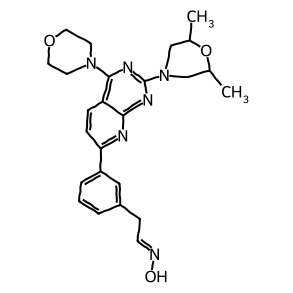 CC1CN(c2nc(N3CCOCC3)c3ccc(-c4cccc(CC=NO)c4)nc3n2)CC(C)O1